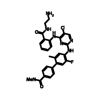 CNC(=O)c1ccc(-c2cc(F)c(Nc3ncc(Cl)c(Nc4ccccc4C(=O)NCCN)n3)cc2C)cc1